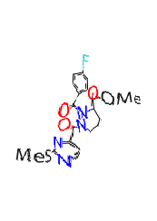 COC(=O)C1CCCN(C(=O)c2ccnc(SC)n2)N1C(=O)c1ccc(F)cc1